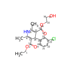 CCOC(=O)C1=C(C)NC(C)=C(C(=O)OCCO)C1c1cccc(Cl)c1